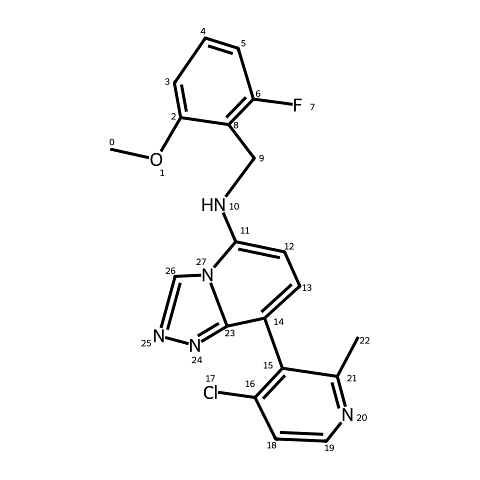 COc1cccc(F)c1CNc1ccc(-c2c(Cl)ccnc2C)c2nncn12